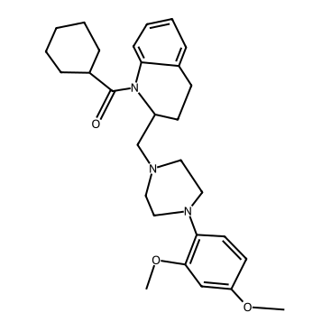 COc1ccc(N2CCN(CC3CCc4ccccc4N3C(=O)C3CCCCC3)CC2)c(OC)c1